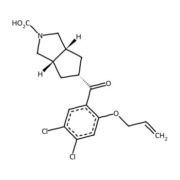 C=CCOc1cc(Cl)c(Cl)cc1C(=O)[C@@H]1C[C@@H]2CN(C(=O)O)C[C@@H]2C1